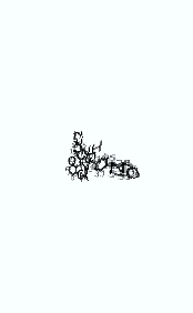 O=C(NC(c1ccccc1Cl)c1c[nH]c2cc(Cl)ccc2c1=O)c1ccc(N2CCOCC2)cc1